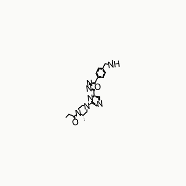 CCC(=O)N1CCN(c2cncc(-c3nnc(-c4ccc(CNC)cc4)o3)n2)C[C@@H]1C